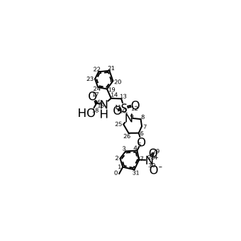 Cc1ccc(OC2CCN(S(=O)(=O)CC(NC(=O)O)c3ccccc3)CC2)c([N+](=O)[O-])c1